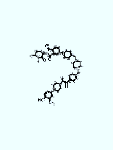 N#Cc1ccc(N2CCC(C(=O)Nc3ccc(CN4CCN(CC5CCN(c6ccc7c(c6)C(=O)N(C6CCC(=O)NC6=O)C7=O)CC5)CC4)cn3)CC2)cc1C(F)(F)F